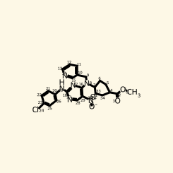 COC(=O)C1CCC(N(Cc2cccnc2)c2nc(Nc3ccc(Cl)cc3)ncc2[N+](=O)[O-])CC1